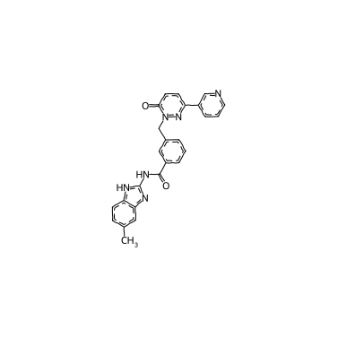 Cc1ccc2[nH]c(NC(=O)c3cccc(Cn4nc(-c5cccnc5)ccc4=O)c3)nc2c1